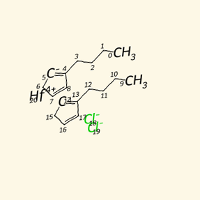 CCCCC1=[C-]CC=C1.CCCCC1=[C-]CC=C1.[Cl-].[Cl-].[Hf+4]